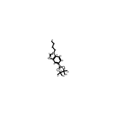 CCCCn1cnc2cc(B3OC(C)(C)C(C)(C)O3)ccc21